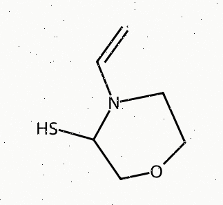 [CH]=CN1CCOCC1S